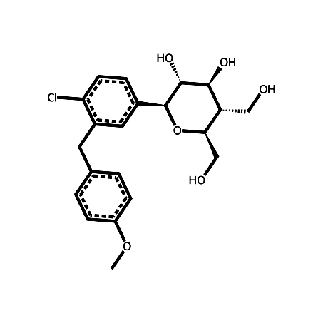 COc1ccc(Cc2cc([C@@H]3O[C@H](CO)[C@@H](CO)[C@H](O)[C@H]3O)ccc2Cl)cc1